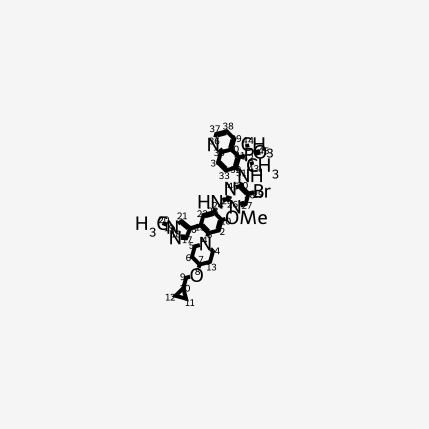 COc1cc(N2CCC(OCC3CC3)CC2)c(-c2cnn(C)c2)cc1Nc1ncc(Br)c(Nc2ccc3ncccc3c2P(C)(C)=O)n1